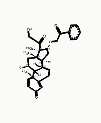 C[C@]12C=CC(=O)C=C1CC[C@H]1[C@@H]3C[C@@H](OCC(=O)c4ccccc4)[C@](O)(C(=O)CO)[C@@]3(C)C[C@H](Cl)C12Cl